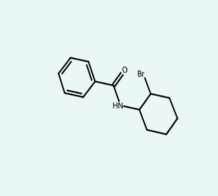 O=C(NC1CCCCC1Br)c1ccccc1